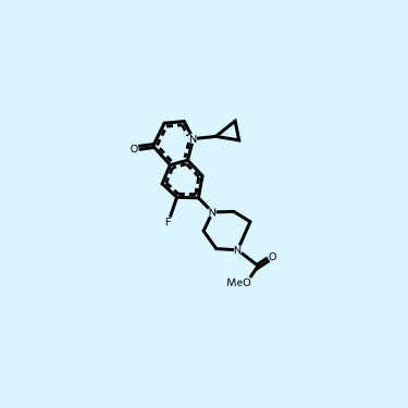 COC(=O)N1CCN(c2cc3c(cc2F)c(=O)ccn3C2CC2)CC1